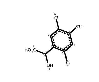 O=C(O)C(O)c1cc(Cl)c(Cl)cc1Cl